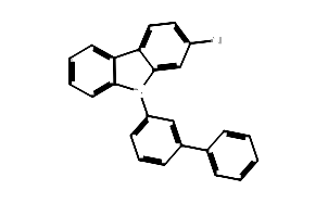 Nc1ccc2c3ccccc3n(-c3cccc(-c4ccccc4)c3)c2c1